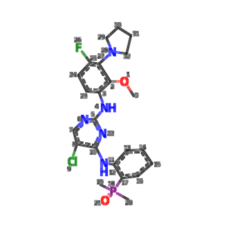 COc1c(Nc2ncc(Cl)c(Nc3ccccc3P(C)(C)=O)n2)ccc(F)c1N1CCCC1